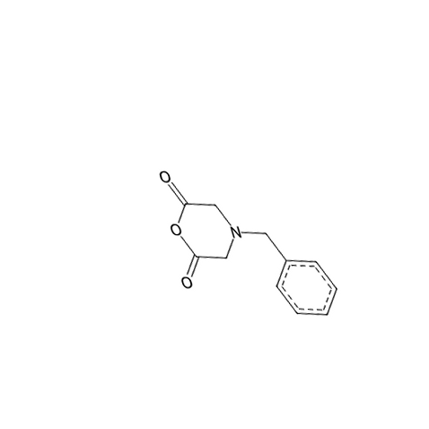 O=C1CN(Cc2ccccc2)CC(=O)O1